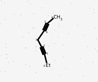 [CH2]CC#CCC#CC